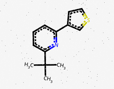 CC(C)(C)c1cccc(-c2ccsc2)n1